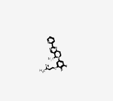 CC(S)CCOc1cc(N2CCc3nc(-c4ccccn4)ncc3C2C)cc(F)c1F